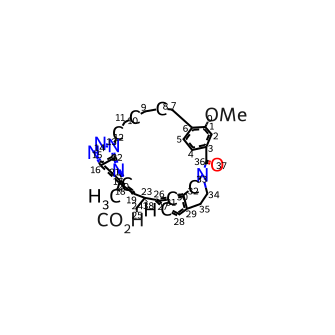 COc1cc2ccc1CCCCCCn1nnc3c(C)c(cnc31)[C@H](CC(=O)O)c1ccc3c(c1)CN(CC3)C2=O